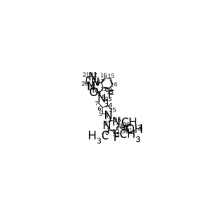 Cc1nc(N2CC3CN(C(=O)c4c(F)cccc4-n4nccn4)CC3C2)nc(C(C)(C)O)c1F